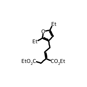 CCOC(=O)C/C(=C/Cc1cc(CC)oc1CC)C(=O)OCC